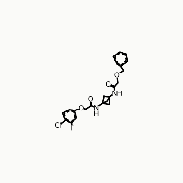 O=C(COCc1ccccc1)NC12CC(NC(=O)COc3ccc(Cl)c(F)c3)(C1)C2